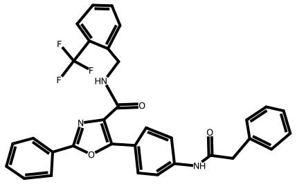 O=C(Cc1ccccc1)Nc1ccc(-c2oc(-c3ccccc3)nc2C(=O)NCc2ccccc2C(F)(F)F)cc1